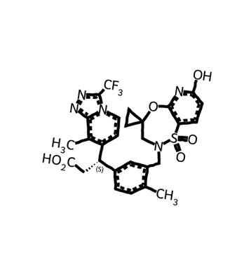 Cc1ccc([C@H](CC(=O)O)c2ccn3c(C(F)(F)F)nnc3c2C)cc1CN1CC2(CC2)Oc2nc(O)ccc2S1(=O)=O